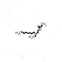 C=CC(=O)OCCN(CC)CCCCCCCC